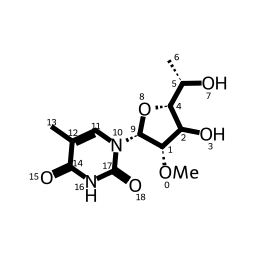 CO[C@H]1C(O)[C@@H]([C@H](C)O)O[C@H]1n1cc(C)c(=O)[nH]c1=O